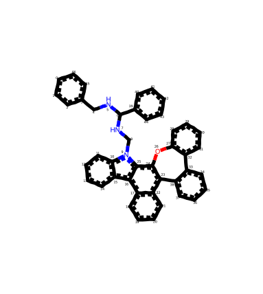 c1ccc(CNC(NCn2c3ccccc3c3c4ccccc4c4c(c32)Oc2ccccc2-c2ccccc2-4)c2ccccc2)cc1